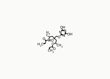 C=CC(=O)OC(C)CC(O)(COc1nc(O)nc(O)n1)CC(C)OC(=O)C=C